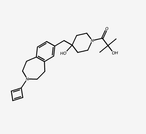 CC(C)(O)C(=O)N1CCC(O)(Cc2ccc3c(c2)CCN(C2=CC=C2)CC3)CC1